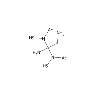 CC(=O)N(S)C(N)(CN)N(S)C(C)=O